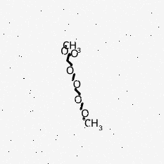 CCOCCOCCOCCOCCC(=O)OC